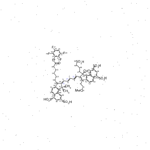 COCC[N+]1=C(/C=C/C=C/C=C2/N(CCCCCC(=O)Oc3c(F)c(F)cc(F)c3F)c3ccc4c(S(=O)(=O)O)cc(S(=O)(=O)O)cc4c3C2(C)C)C(C)(CCCS(=O)(=O)O)c2c1ccc1c(S(=O)(=O)O)cc(S(=O)(=O)O)cc21